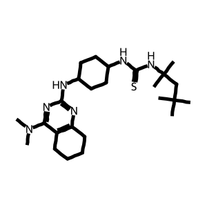 CN(C)c1nc(NC2CCC(NC(=S)NC(C)(C)CC(C)(C)C)CC2)nc2c1CCCC2